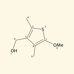 COc1sc(C)c(CO)c1C